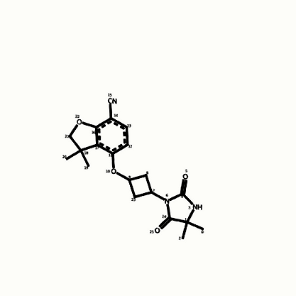 CC1(C)NC(=O)N(C2CC(Oc3ccc(C#N)c4c3C(C)(C)CO4)C2)C1=O